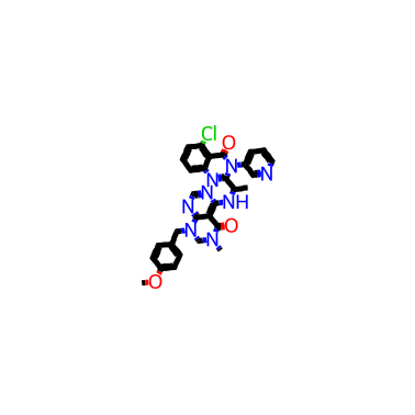 COc1ccc(CN2CN(C)C(=O)c3c(NC(C)c4nc5cccc(Cl)c5c(=O)n4-c4cccnc4)ncnc32)cc1